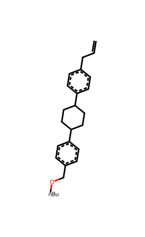 C=CCc1ccc(C2CCC(c3ccc(COCCCC)cc3)CC2)cc1